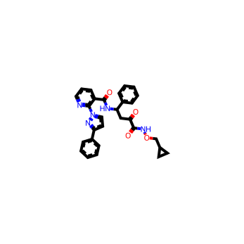 O=C(CC(NC(=O)c1cccnc1-n1ccc(-c2ccccc2)n1)c1ccccc1)C(=O)NOCC1CC1